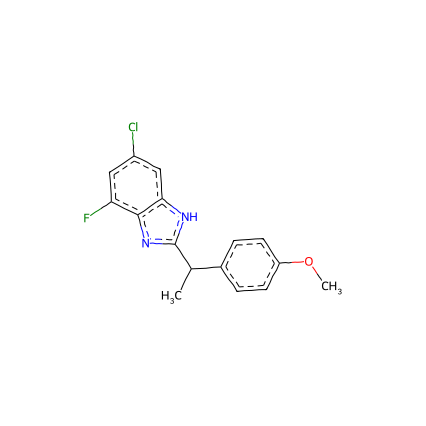 COc1ccc(C(C)c2nc3c(F)cc(Cl)cc3[nH]2)cc1